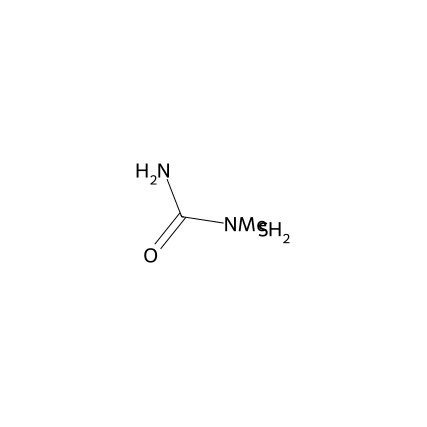 CNC(N)=O.S